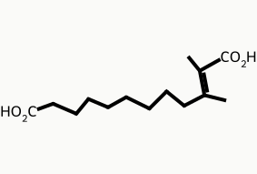 CC(CCCCCCCCC(=O)O)=C(C)C(=O)O